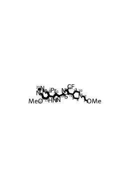 COCCN1CCC(c2sc(-c3n[nH]c(-c4cc(OC)c5ncnn5c4)c3C(C)C)nc2C(F)(F)F)CC1